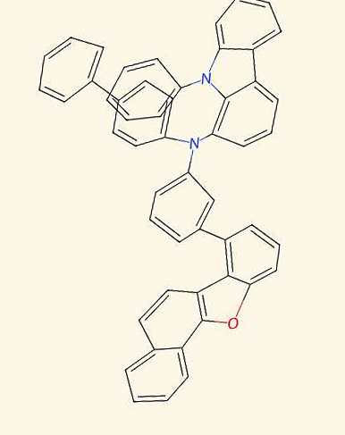 c1ccc(-c2ccc(N(c3cccc(-c4cccc5oc6c7ccccc7ccc6c45)c3)c3cccc4c5ccccc5n(-c5ccccc5)c34)cc2)cc1